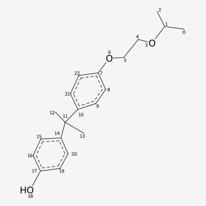 CC(C)OCCOc1ccc(C(C)(C)c2ccc(O)cc2)cc1